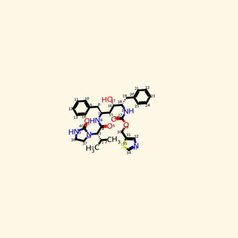 CC(C)[C@@H](C(=O)N[C@@H](Cc1ccccc1)C[C@H](O)[C@H](Cc1ccccc1)NC(=O)OCc1cncs1)N1CCNC1=O